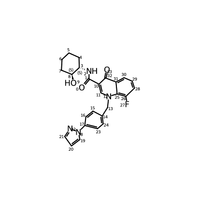 O=C(N[C@H]1CCCC[C@@H]1O)c1cn(Cc2ccc(-n3cccn3)cc2)c2c(F)cccc2c1=O